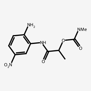 CNC(=O)OC(C)C(=O)Nc1cc([N+](=O)[O-])ccc1N